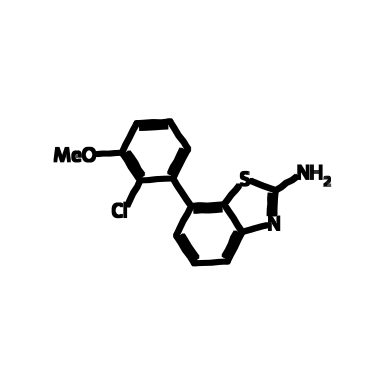 COc1cccc(-c2cccc3nc(N)sc23)c1Cl